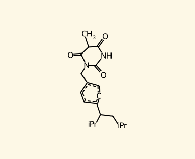 CC(C)CC(c1ccc(CN2C(=O)NC(=O)C(C)C2=O)cc1)C(C)C